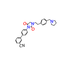 N#Cc1cccc(-c2ccc(N3C(=O)CN(CCc4ccc(CN5CCCC5)cc4)C3=O)cc2)c1